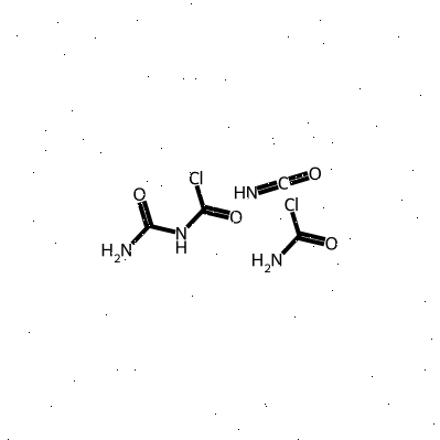 N=C=O.NC(=O)Cl.NC(=O)NC(=O)Cl